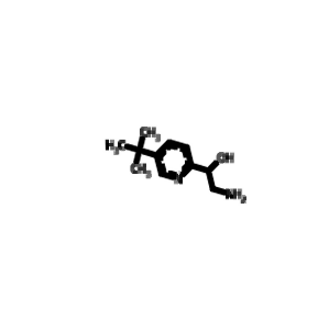 CC(C)(C)c1ccc(C(O)CN)nc1